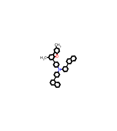 Cc1ccc2oc3c(-c4ccc(N(c5ccc(-c6cccc7ccccc67)cc5)c5cccc(-c6ccc7ccccc7c6)c5)cc4)cc(C)cc3c2c1